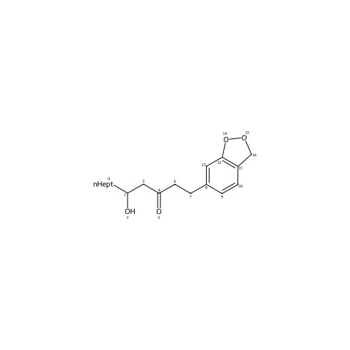 CCCCCCCC(O)CC(=O)CCc1ccc2c(c1)OOC2